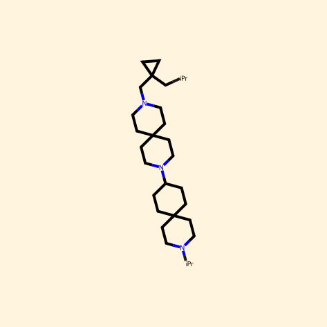 CC(C)CC1(CN2CCC3(CC2)CCN(C2CCC4(CC2)CCN(C(C)C)CC4)CC3)CC1